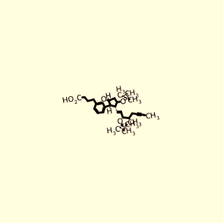 CC#CCC(C)[C@@H](/C=C/[C@H]1C(O[Si](C)(C)C)C[C@@H]2Oc3c(CCCC(=O)O)cccc3[C@@H]21)O[Si](C)(C)C